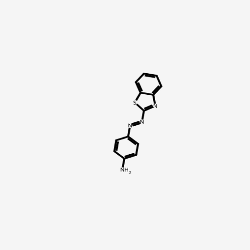 Nc1ccc(N=Nc2nc3ccccc3s2)cc1